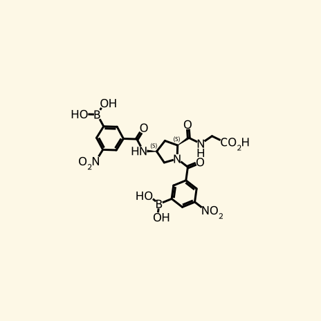 O=C(O)CNC(=O)[C@@H]1C[C@H](NC(=O)c2cc(B(O)O)cc([N+](=O)[O-])c2)CN1C(=O)c1cc(B(O)O)cc([N+](=O)[O-])c1